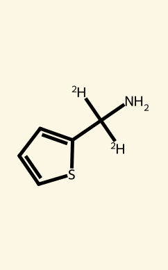 [2H]C([2H])(N)c1cccs1